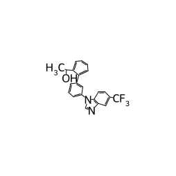 CC(O)c1ccccc1-c1cccc(-n2cnc3cc(C(F)(F)F)ccc32)c1